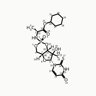 C[C@H](NP1(=O)OC[C@H]2O[C@@H](n3ccc(=O)[nH]c3=S)C(C)(O)[C@H]2O1)C(=O)OC1CCCCC1